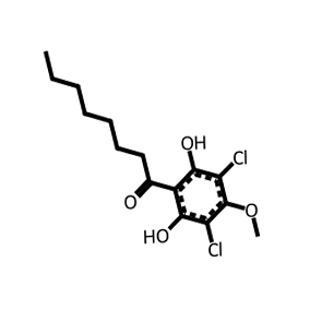 CCCCCCCC(=O)c1c(O)c(Cl)c(OC)c(Cl)c1O